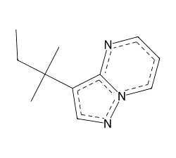 CCC(C)(C)c1cnn2cccnc12